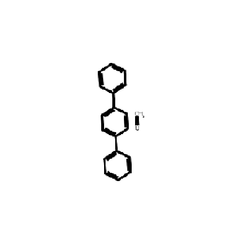 C=O.c1ccc(-c2ccc(-c3ccccc3)cc2)cc1